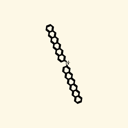 c1ccc2cc3cc4cc5cc6cc([N]c7ccc8cc9cc%10cc%11cc%12ccccc%12cc%11cc%10cc9cc8c7)ccc6cc5cc4cc3cc2c1